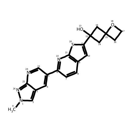 Cn1cc2cc(-c3ccc4cc(C5(O)CC6(CCO6)C5)sc4n3)cnc2n1